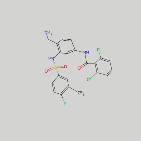 NCc1ccc(NC(=O)c2c(Cl)cccc2Cl)cc1NS(=O)(=O)c1ccc(F)c(C(F)(F)F)c1